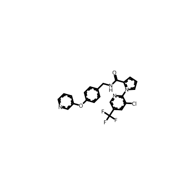 O=C(NCc1ccc(Oc2cccnc2)cc1)c1cccn1-c1ncc(C(F)(F)F)cc1Cl